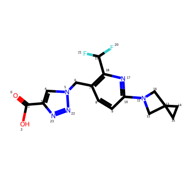 O=C(O)c1cn(Cc2ccc(N3CC4(CC4)C3)nc2C(F)F)nn1